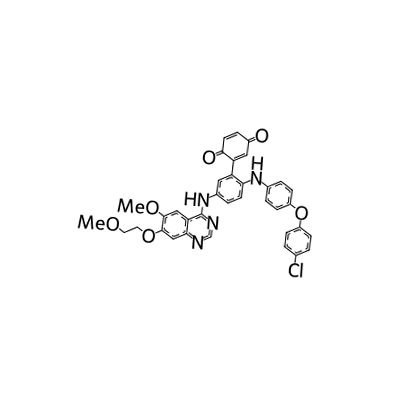 COCCOc1cc2ncnc(Nc3ccc(Nc4ccc(Oc5ccc(Cl)cc5)cc4)c(C4=CC(=O)C=CC4=O)c3)c2cc1OC